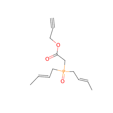 C#CCOC(=O)CP(=O)(CC=CC)CC=CC